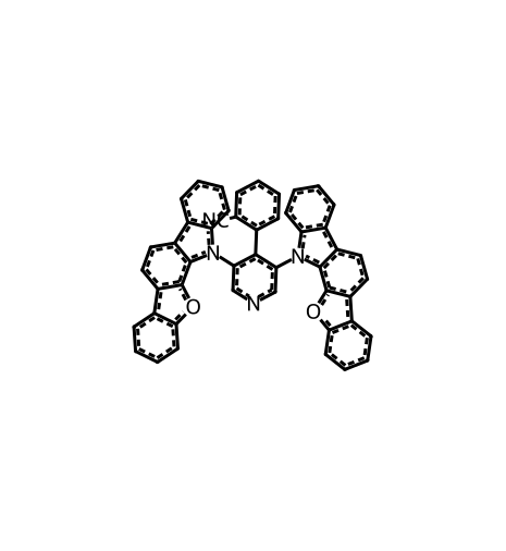 N#Cc1ccccc1-c1c(-n2c3ccccc3c3ccc4c5ccccc5oc4c32)cncc1-n1c2ccccc2c2ccc3c4ccccc4oc3c21